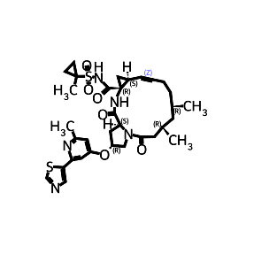 Cc1cc(O[C@@H]2C[C@H]3C(=O)N[C@]4(C(=O)NS(=O)(=O)C5(C)CC5)C[C@H]4/C=C\CC[C@@H](C)C[C@@H](C)CC(=O)N3C2)cc(-c2cncs2)n1